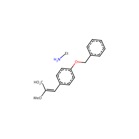 CCN.COC(=Cc1ccc(OCc2ccccc2)cc1)C(=O)O